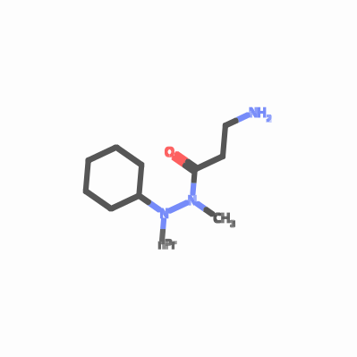 CCCN(C1CCCCC1)N(C)C(=O)CCN